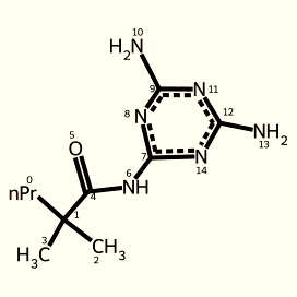 CCCC(C)(C)C(=O)Nc1nc(N)nc(N)n1